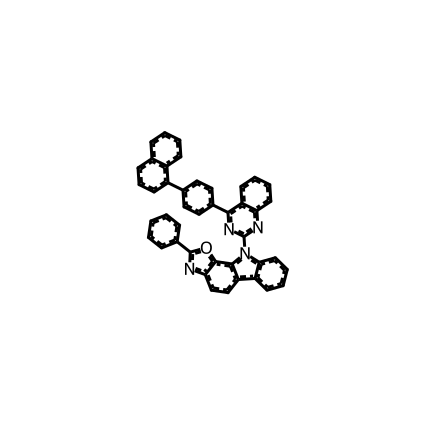 c1ccc(-c2nc3ccc4c5ccccc5n(-c5nc(-c6ccc(-c7cccc8ccccc78)cc6)c6ccccc6n5)c4c3o2)cc1